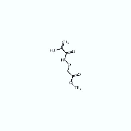 C=C(C)C(=O)NOCC(=O)OC